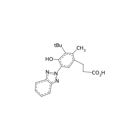 Cc1c(CCC(=O)O)cc(-n2nc3ccccc3n2)c(O)c1C(C)(C)C